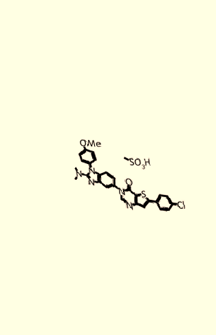 COc1ccc(-n2c(N(C)C)nc3cc(-n4cnc5cc(-c6ccc(Cl)cc6)sc5c4=O)ccc32)cc1.CS(=O)(=O)O